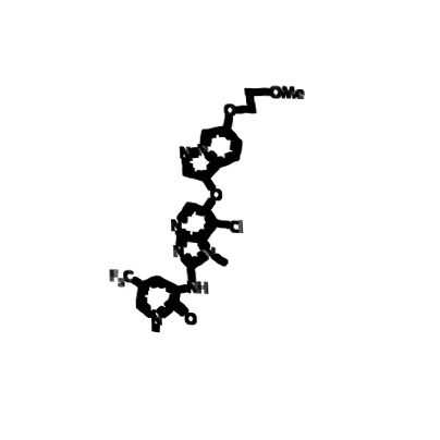 COCCOc1ccc2c(Oc3cnc4nc(Nc5cc(C(F)(F)F)cn(C)c5=O)n(C)c4c3Cl)cnn2c1